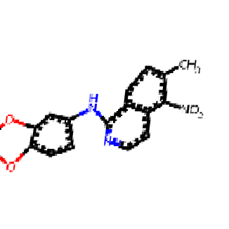 Cc1ccc2c(Nc3ccc4c(c3)OCCO4)nccc2c1[N+](=O)[O-]